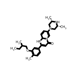 CCC(C)COc1cc(C2=CC(=O)N3C=C(N4C[C@@H](C)N[C@@H](C)C4)C=CC3P2)ccc1C